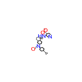 COCCN(c1ccc(C2CC2)cc1)c1ccc2c(c1)CCC[C@H]2CNc1cnccc1C(=O)OC